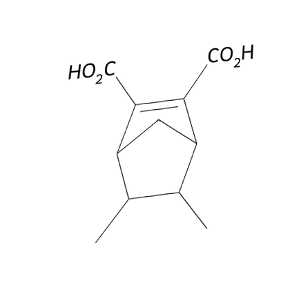 CC1C2CC(C(C(=O)O)=C2C(=O)O)C1C